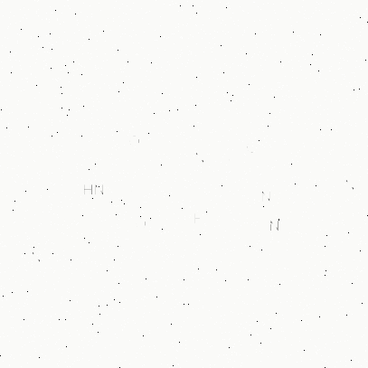 CC1CN(c2ccc(C#N)n3ncc(F)c23)CC(C(=O)NC2CCN(C)CC2)O1